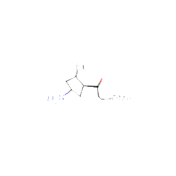 CCC1CC(N)CC1C(=O)COC